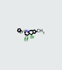 CC1=CC2=Cc3n[c]([Zr+2][C]4=CC=CC4)ccc3C(Br)C2=C1.[Cl-].[Cl-]